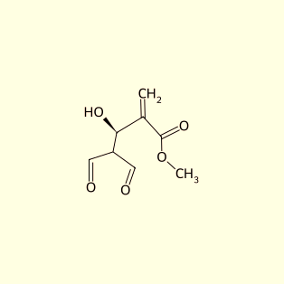 C=C(C(=O)OC)[C@H](O)C(C=O)C=O